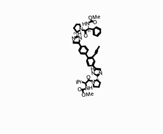 CC#Cc1cc(-c2cnc([C@@H]3CCCN3C(=O)C(NC(=O)OC)C(C)C)[nH]2)ccc1-c1ccc(-c2cnc([C@@H]3CCCN3C(=O)[C@H](NC(=O)OC)c3ccccc3)[nH]2)cc1